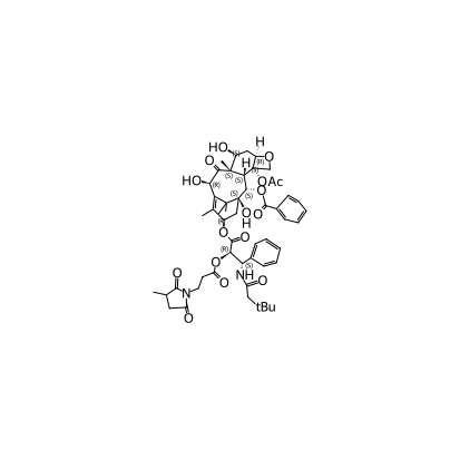 CC(=O)O[C@@]12CO[C@@H]1C[C@H](O)[C@@]1(C)C(=O)[C@H](O)C3=C(C)[C@H](OC(=O)[C@H](OC(=O)CCN4C(=O)CC(C)C4=O)[C@@H](NC(=O)CC(C)(C)C)c4ccccc4)C[C@@](O)([C@@H](OC(=O)c4ccccc4)[C@@H]21)C3(C)C